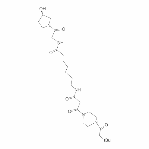 CC(C)(C)CC(=O)N1CCN(C(=O)CC(=O)NCCCCCCC(=O)NCC(=O)N2CC[C@@H](O)C2)CC1